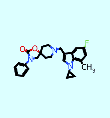 Cc1cc(F)cc2c(CN3CCC4(CC3)CN(c3ccccc3)C(=O)O4)cn(C3CC3)c12